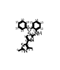 Cc1nc(C)c(-c2csc(Nc3ccccc3Oc3ccccc3)n2)s1